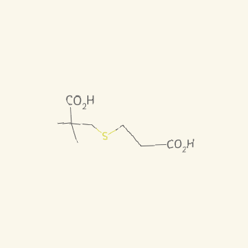 CC(C)(CSCCC(=O)O)C(=O)O